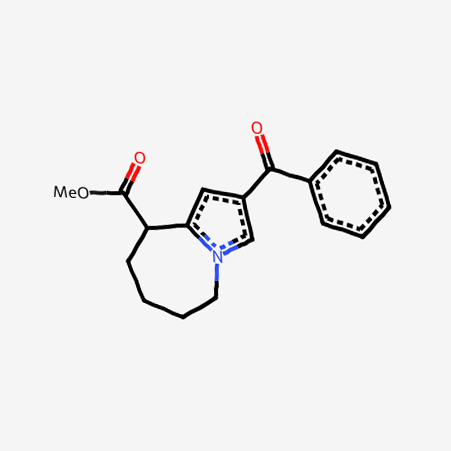 COC(=O)C1CCCCn2cc(C(=O)c3ccccc3)cc21